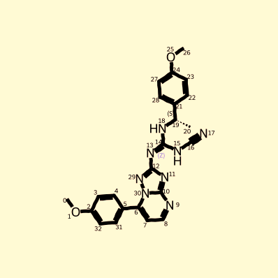 COc1ccc(-c2ccnc3nc(/N=C(\NC#N)N[C@@H](C)c4ccc(OC)cc4)nn23)cc1